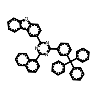 c1ccc(C(c2ccccc2)(c2ccccc2)c2cccc(-c3nc(-c4ccc5oc6ccccc6c5c4)nc(-c4cccc5ccccc45)n3)c2)cc1